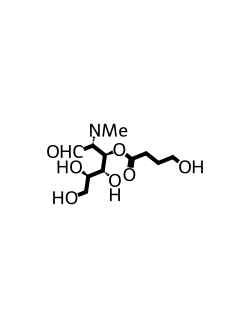 CN[C@@H](C=O)[C@@H](OC(=O)CCCO)[C@H](O)[C@H](O)CO